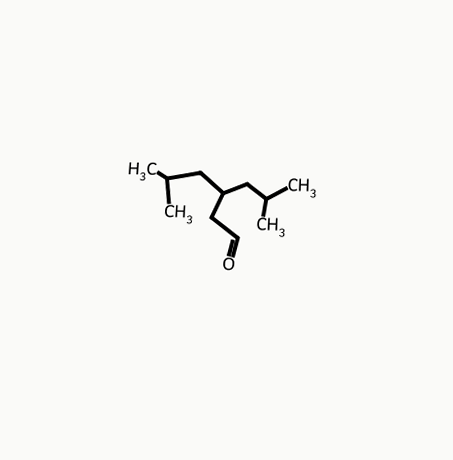 CC(C)CC(CC=O)CC(C)C